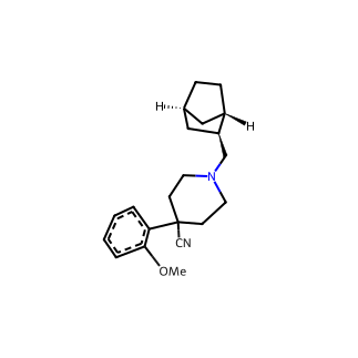 COc1ccccc1C1(C#N)CCN(C[C@H]2C[C@H]3CC[C@H]2C3)CC1